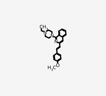 CCN1CCN(c2nc(C=Cc3ccc(OC)cc3)cc3ccccc23)CC1